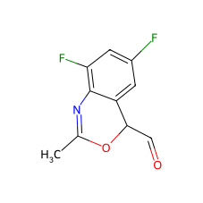 CC1=Nc2c(F)cc(F)cc2C(C=O)O1